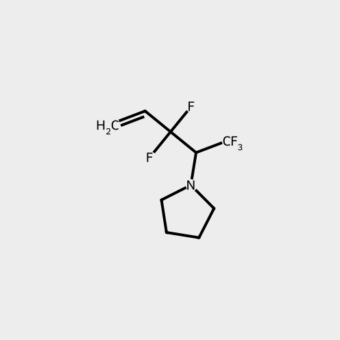 C=CC(F)(F)C(N1CCCC1)C(F)(F)F